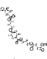 CCCOC(=O)CCC(=O)OCCCOC(=O)c1ccc(OCCCOC(=O)CCC(=O)OCC)cc1